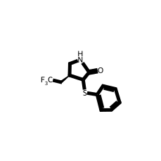 O=C1NC[C@H](CC(F)(F)F)C1Sc1ccccc1